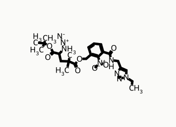 CCn1cc(CNC(=O)c2cccc(COC(=O)C(C)(C)CC(N=[N+]=[N-])C(=O)OC(C)(C)C)c2[N+](=O)[O-])nn1